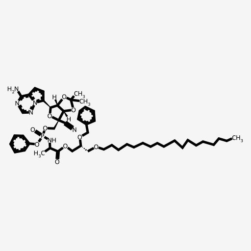 CCCCCCCCCCCCCCCCCCOC[C@H](COC(=O)C(C)NP(=O)(OC[C@@]1(C#N)O[C@@H](c2ccc3c(N)ncnn23)[C@@H]2OC(C)(C)O[C@@H]21)Oc1ccccc1)OCc1ccccc1